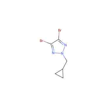 Brc1nn(CC2CC2)nc1Br